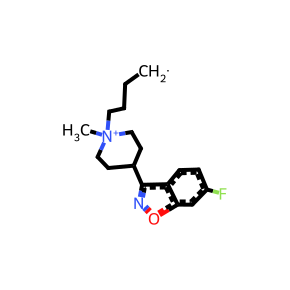 [CH2]CCC[N+]1(C)CCC(c2noc3cc(F)ccc23)CC1